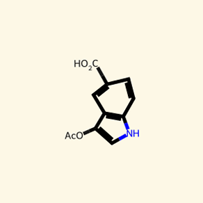 CC(=O)Oc1c[nH]c2ccc(C(=O)O)cc12